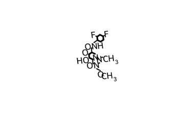 CCN1CN(CCOC)C(=O)c2c(O)c(=O)c(C(=O)NCc3ccc(F)cc3F)cn21